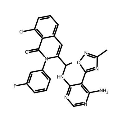 Cc1noc(-c2c(N)ncnc2NC(C)c2cc3cccc(Cl)c3c(=O)n2-c2cccc(F)c2)n1